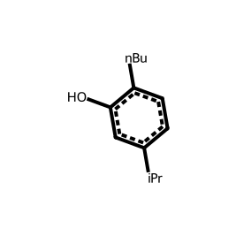 CCCCc1ccc(C(C)C)cc1O